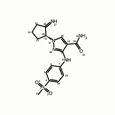 CS(=O)(=O)c1ccc(Nc2nn([C@H]3CCCC3=N)cc2C(N)=O)cc1